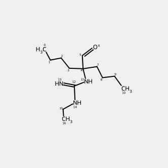 CCCCC(C=O)(CCCC)NC(=N)NCC